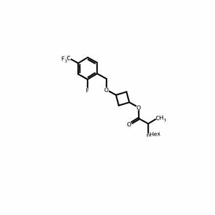 CCCCCCC(C)C(=O)OC1CC(OCc2ccc(C(F)(F)F)cc2F)C1